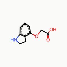 O=C(O)COc1cccc2c1CCN2